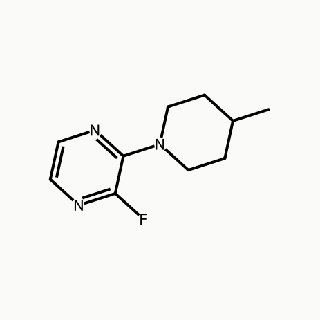 CC1CCN(c2nccnc2F)CC1